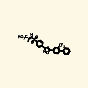 C[C@@H](NS(=O)(=O)c1ccc(-c2cc(-c3ccc(-c4ccccc4)c(C(F)(F)F)c3)on2)cc1)C(=O)O